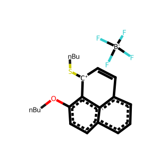 CCCCOc1ccc2cccc3c2c1[C+](SCCCC)C=C3.F[B-](F)(F)F